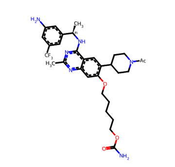 CC(=O)N1CCC(c2cc3c(N[C@H](C)c4cc(N)cc(C(F)(F)F)c4)nc(C)nc3cc2OCCCCCOC(N)=O)CC1